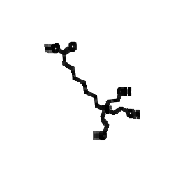 O=C(O)CCCCCCC[N+](CCO)(CCO)CCO